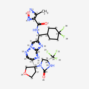 Cc1nonc1C(=O)N[C@H](c1cn2ncc([C@]3(N4C[C@H](C(F)(F)F)NC4=O)CCOC3)nc2n1)C1CCC(F)(F)CC1